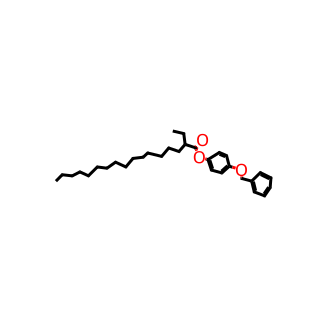 CCCCCCCCCCCCCCCC(CC)C(=O)Oc1ccc(OCc2ccccc2)cc1